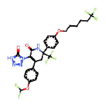 O=C1NC(c2ccc(OCCCCCC(F)(F)F)cc2)(C(F)(F)F)CC(c2ccc(OC(F)F)cc2)=C1n1nn[nH]c1=O